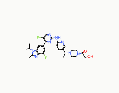 Cc1nc2c(F)cc(-c3nc(Nc4ccc(C(C)N5CCN(C(=O)CO)CC5)cn4)ncc3F)cc2n1C(C)C